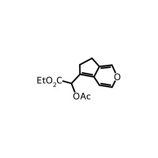 CCOC(=O)C(OC(C)=O)C1=C2C=COC=C2CC1